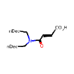 CCCCCCCCCCCN(CCCCCCCCCCC)C(=O)/C=C/C(=O)O